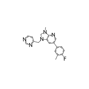 Cc1cc(-c2cnc3c(c2)N(Cc2ccncn2)CN3C)ccc1F